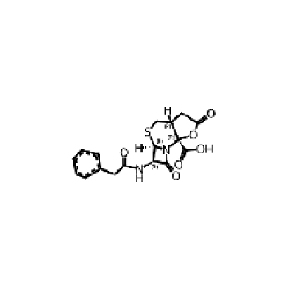 O=C(Cc1ccccc1)N[C@@H]1C(=O)N2[C@@H]1SC[C@@H]1CC(=O)O[C@@]12C(=O)O